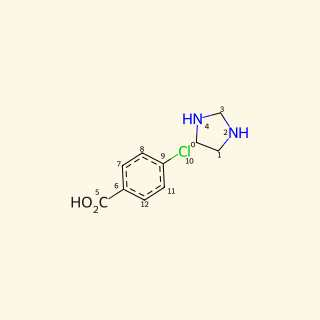 C1CNCN1.O=C(O)c1ccc(Cl)cc1